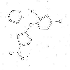 O=[N+]([O-])c1ccc(Oc2ccc(Cl)cc2Cl)cc1.c1ccccc1